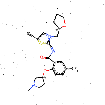 CN1CC[C@@H](Oc2ccc(C(F)(F)F)cc2C(=O)N=c2sc(C(C)(C)C)cn2C[C@H]2CCCO2)C1